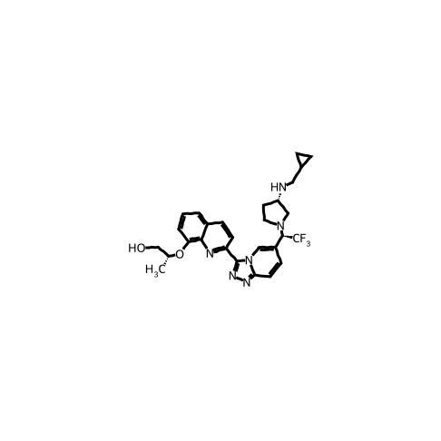 C[C@H](CO)Oc1cccc2ccc(-c3nnc4ccc([C@@H](N5CC[C@H](NCC6CC6)C5)C(F)(F)F)cn34)nc12